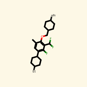 CCCC1CCC(COc2c(C)cc(C3CCC(CC)CC3)c(F)c2C(F)F)CC1